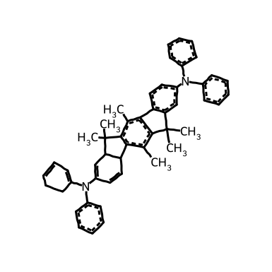 Cc1c2c(c(C)c3c1C(C)(C)c1cc(N(c4ccccc4)c4ccccc4)ccc1-3)C(C)(C)C1C=C(N(C3=CC=CCC3)c3ccccc3)C=CC21